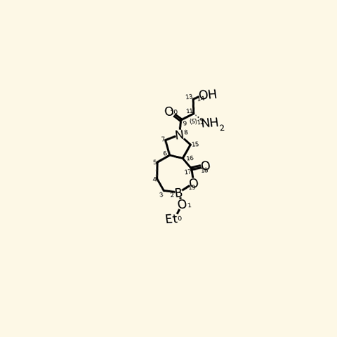 CCOB1CCCC2CN(C(=O)[C@@H](N)CO)CC2C(=O)O1